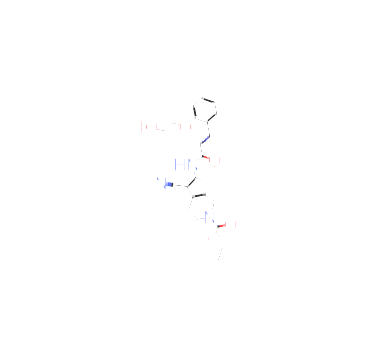 CCOC(=O)N1CCc2c(sc(NC(=O)/C=C/c3ccccc3OCCO)c2C#N)C1